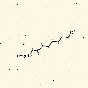 CCCCCCOCCCCCC[O]